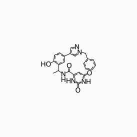 CC(NC(=O)c1cc(=O)[nH]c(=O)[nH]1)c1cc(-c2cnn(Cc3ccccc3)c2)ccc1O